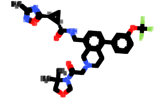 Cc1noc([C@H]2C[C@@H]2C(=O)NCc2ccc(-c3cccc(OC(F)(F)F)c3)c3c2CN(CC(=O)N2COCC2(C)C)CC3)n1